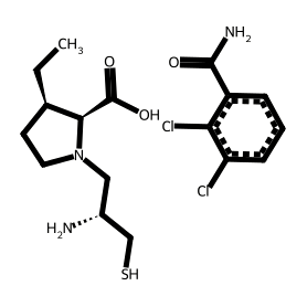 CC[C@@H]1CCN(C[C@@H](N)CS)[C@@H]1C(=O)O.NC(=O)c1cccc(Cl)c1Cl